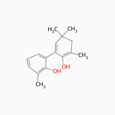 CC1=C(O)C(c2cccc(C)c2O)=CC(C)(C)C1